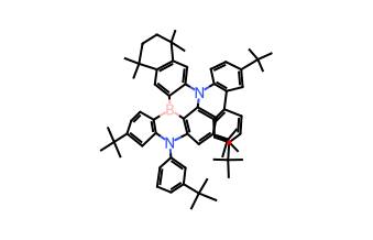 CC(C)(C)c1ccc(-c2cc(C(C)(C)C)ccc2N2c3cc4c(cc3B3c5ccc(C(C)(C)C)cc5N(c5cccc(C(C)(C)C)c5)c5cc(C(C)(C)C)cc2c53)C(C)(C)CCC4(C)C)cc1